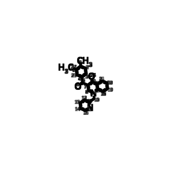 Cc1ccc(C(=O)c2cn(Cc3ccccn3)c3ccccc3c2=O)cc1C